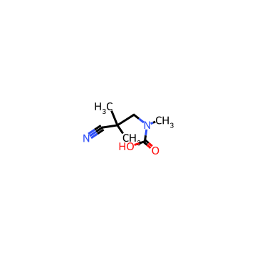 CN(CC(C)(C)C#N)C(=O)O